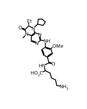 CC[C@@H]1C(=O)N(C)c2cnc(Nc3ccc(C(=O)NC(CCCCN)C(=O)O)cc3OC)nc2N1C1CCCC1